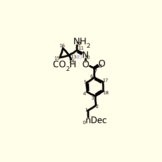 CCCCCCCCCCCCc1ccc(C(=O)O/N=C(/N)C2(C(=O)O)CC2)cc1